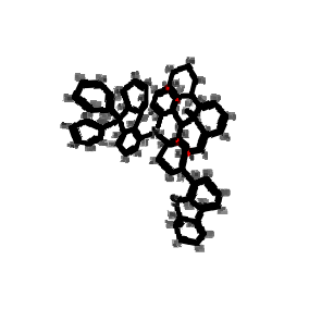 CC12C(=CC=CC1c1ccccc1N(c1ccc(-c3cccc4c3sc3ccccc34)cc1)c1cccc3c1-c1ccccc1C3(c1ccccc1)c1ccccc1)C=CC=C2C1CCCCC1